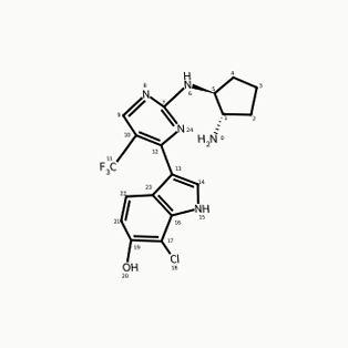 N[C@H]1CCC[C@@H]1Nc1ncc(C(F)(F)F)c(-c2c[nH]c3c(Cl)c(O)ccc23)n1